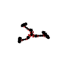 O=C(Oc1cc(OC(=O)c2ccc(OCCCCCOc3c4ccccc4cc4ccccc34)cc2)cc(OC(=O)c2cccc(OCCCCCOc3c4ccccc4cc4ccccc34)c2)c1)c1ccc(OCCCCCOc2c3ccccc3cc3ccccc23)cc1